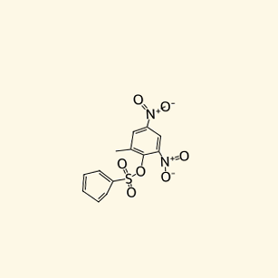 Cc1cc([N+](=O)[O-])cc([N+](=O)[O-])c1OS(=O)(=O)c1ccccc1